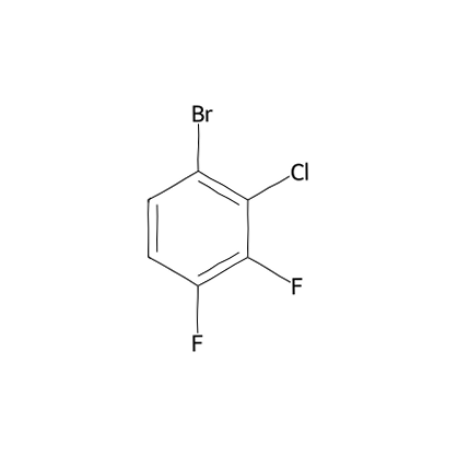 Fc1ccc(Br)c(Cl)c1F